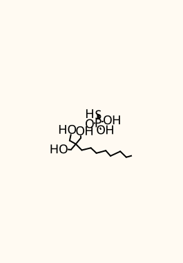 CCCCCCCCC(CO)(CO)CO.OP(O)(O)=S